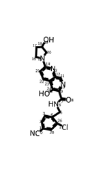 N#Cc1ccc(CNC(=O)c2ncc3nc(N4CCC(O)C4)ccc3c2O)c(Cl)c1